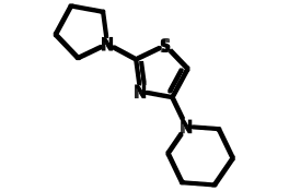 c1sc(N2CCCC2)nc1N1CCCCC1